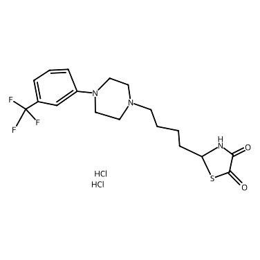 Cl.Cl.O=C1NC(CCCCN2CCN(c3cccc(C(F)(F)F)c3)CC2)SC1=O